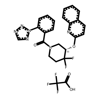 O=C(O)C(F)(F)F.O=C(c1ccccc1-n1ncnn1)N1CCC(F)(F)[C@@H](Oc2ccc3ccccc3n2)C1